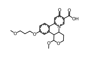 COCCCOc1ccc2c(c1)C1C(OC)OCCC1n1cc(C(=O)O)c(=O)cc1-2